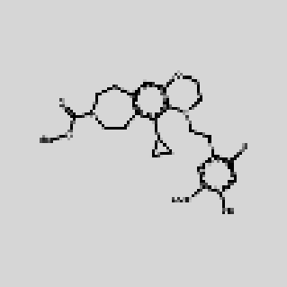 COc1cc(CCN2CCOc3cc4c(c(C5CC5)c32)CCN(C(=O)OC(C)(C)C)CC4)c(F)cc1C#N